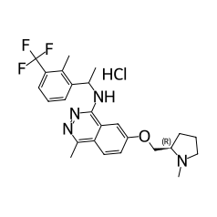 Cc1c(C(C)Nc2nnc(C)c3ccc(OC[C@H]4CCCN4C)cc23)cccc1C(F)(F)F.Cl